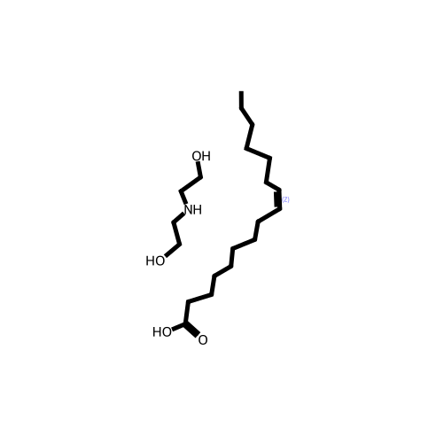 CCCCCC/C=C\CCCCCCCC(=O)O.OCCNCCO